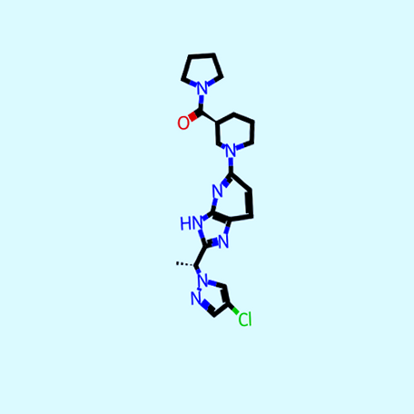 C[C@H](c1nc2ccc(N3CCC[C@H](C(=O)N4CCCC4)C3)nc2[nH]1)n1cc(Cl)cn1